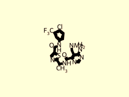 CNCc1c(N)ncnc1C(=O)NC(C)c1ncc(C(=O)Nc2ccc(Cl)c(C(F)(F)F)c2)s1